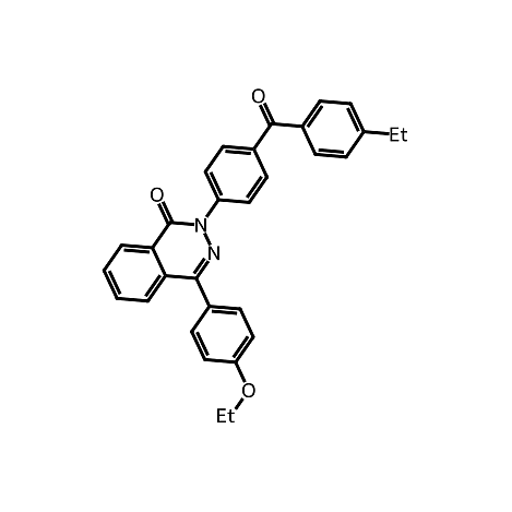 CCOc1ccc(-c2nn(-c3ccc(C(=O)c4ccc(CC)cc4)cc3)c(=O)c3ccccc23)cc1